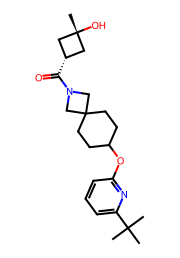 CC(C)(C)c1cccc(OC2CCC3(CC2)CN(C(=O)[C@H]2C[C@@](C)(O)C2)C3)n1